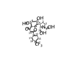 CN1CC[C@H](c2c(O)cc(O)c3c(=O)cc(-c4ccc(C(F)(F)F)cc4)oc23)[C@H]1CO.Cl